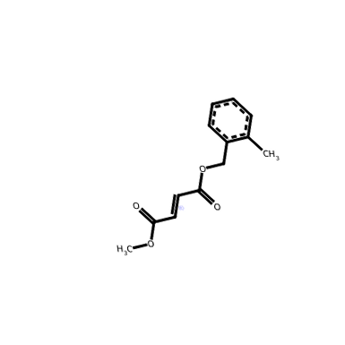 COC(=O)/C=C/C(=O)OCc1ccccc1C